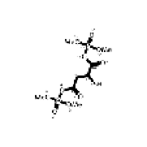 COP(=O)(OC)OC(=O)CC(S)C(=O)OP(=O)(OC)OC